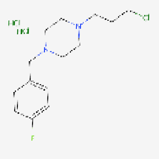 Cl.Cl.Fc1ccc(CN2CCN(CCCCl)CC2)cc1